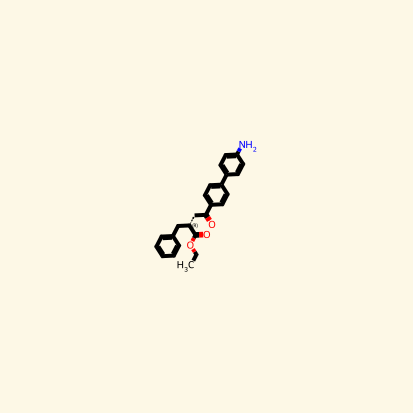 CCOC(=O)[C@@H](CC(=O)c1ccc(-c2ccc(N)cc2)cc1)Cc1ccccc1